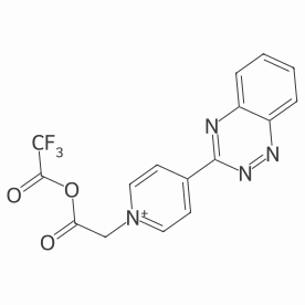 O=C(C[n+]1ccc(-c2nnc3ccccc3n2)cc1)OC(=O)C(F)(F)F